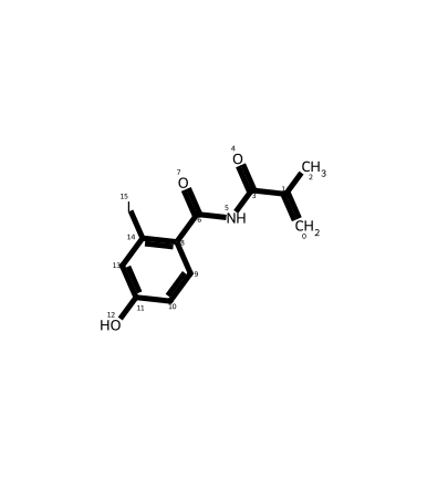 C=C(C)C(=O)NC(=O)c1ccc(O)cc1I